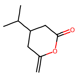 C=C1CC(C(C)C)CC(=O)O1